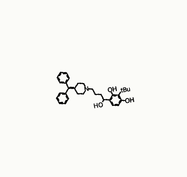 CC(C)(C)c1c(O)ccc(C(O)CCCN2CCC(=C(c3ccccc3)c3ccccc3)CC2)c1O